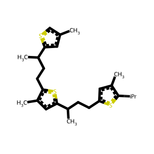 Cc1csc(C(C)CCc2sc(C(C)CCc3cc(C)c(C(C)C)s3)cc2C)c1